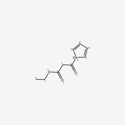 CCOC(=O)CC(=O)[SH]1C=CC=C1